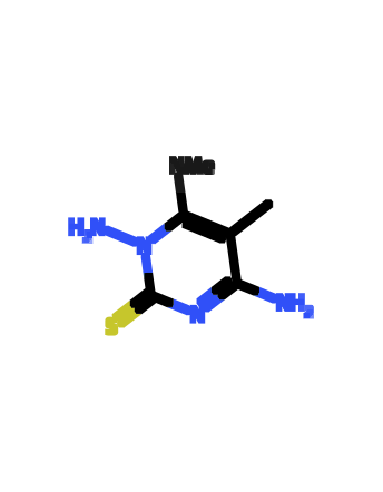 CNc1c(C)c(N)nc(=S)n1N